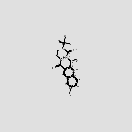 CCOC(=O)c1cc2cc(F)ccc2nc1[C@H](C)NC(=O)OC(C)(C)C